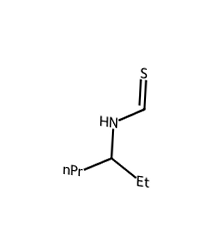 CCCC(CC)NC=S